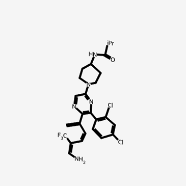 C=C(/C=C\C(=C/N)C(F)(F)F)c1ncc(N2CCC(NC(=O)C(C)C)CC2)nc1-c1ccc(Cl)cc1Cl